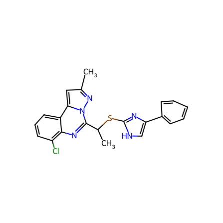 Cc1cc2c3cccc(Cl)c3nc(C(C)Sc3nc(-c4ccccc4)c[nH]3)n2n1